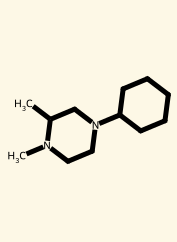 CC1CN(C2CCCCC2)CCN1C